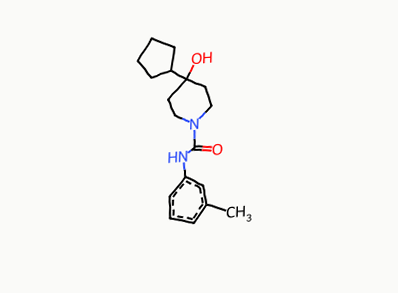 Cc1cccc(NC(=O)N2CCC(O)(C3CCCC3)CC2)c1